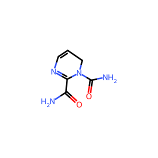 NC(=O)C1=NC=CCN1C(N)=O